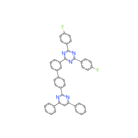 Fc1ccc(-c2nc(-c3ccc(F)cc3)nc(-c3cccc(-c4ccc(-c5nc(-c6ccccc6)cc(-c6ccccc6)n5)cc4)c3)n2)cc1